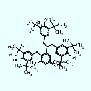 Cc1cc(C)c(Cc2cc(C(C)(C)C)c(O)c(C(C)(C)C)c2)c(C(Cc2cc(C(C)(C)C)c(O)c(C(C)(C)C)c2)Cc2cc(C(C)(C)C)c(O)c(C(C)(C)C)c2)c1